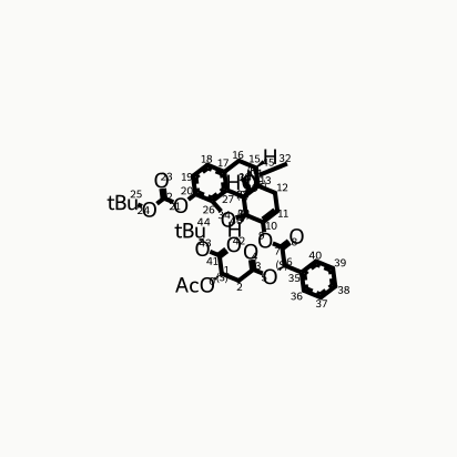 CC(=O)O[C@@H](CC(=O)O[C@H](C(=O)OC1=CC[C@@]2(O)[C@H]3Cc4ccc(OC(=O)OC(C)(C)C)c5c4[C@@]2(CCN3C)[C@H]1O5)c1ccccc1)C(=O)OC(C)(C)C